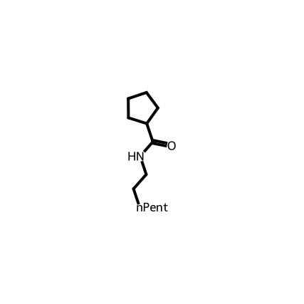 CCCCCCCNC(=O)C1CCCC1